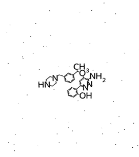 CC(Oc1cc(-c2ccccc2O)nnc1N)c1cccc(CN2CCNCC2)c1